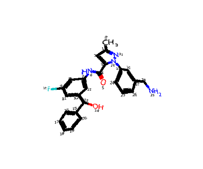 Cc1cc(C(=O)Nc2cc(F)cc(C(O)c3ccccc3)c2)n(-c2cccc(CN)c2)n1